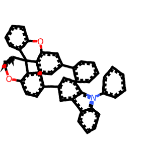 c1ccc(-c2ccc3c(c2)Oc2ccccc2C32c3ccccc3Oc3ccc(-c4ccc5c(c4)c4ccccc4n5-c4ccccc4)cc32)cc1